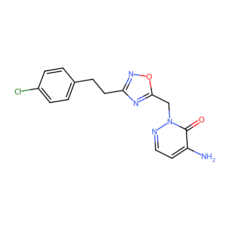 Nc1ccnn(Cc2nc(CCc3ccc(Cl)cc3)no2)c1=O